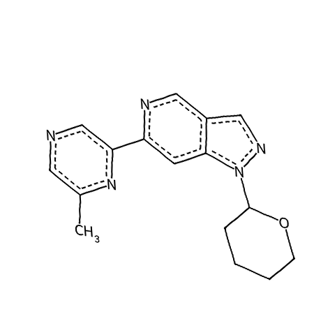 Cc1cncc(-c2cc3c(cn2)cnn3C2CCCCO2)n1